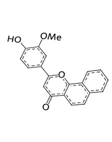 COc1cc(-c2cc(=O)c3ccc4ccccc4c3o2)ccc1O